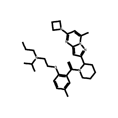 C=C(c1cc(C)ccc1OCCN(CCC)C(C)C)N1CCCCC1c1cc2nc(N3CCC3)cc(C)n2n1